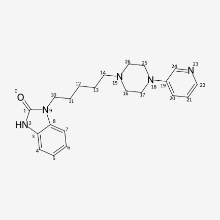 O=c1[nH]c2ccccc2n1CCCCCN1CCN(c2cccnc2)CC1